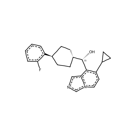 O[C@H](c1c(C2CC2)ccn2cncc12)[C@H]1CC[C@H](c2ccccc2F)CC1